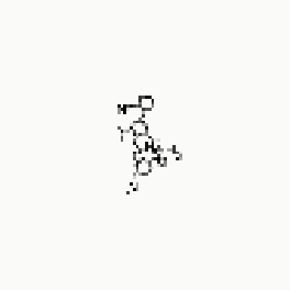 CC(C)c1cc(-c2ccccc2C#N)cc(C(C)C)c1CC(=O)N=S(N)(=O)c1ccc(CN(C)C)cc1